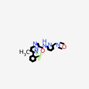 Cc1cc2ncc(C(=O)Nc3cccc(CN4CCOCC4)n3)n2nc1-c1ccccc1C(F)(F)F